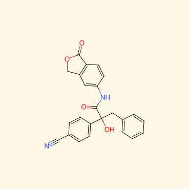 N#Cc1ccc(C(O)(Cc2ccccc2)C(=O)Nc2ccc3c(c2)COC3=O)cc1